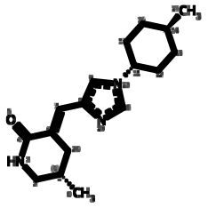 C[C@@H]1CNC(=O)C(=Cc2cn([C@H]3CC[C@H](C)CC3)cn2)C1